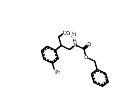 CC(C)c1cccc(C(CNC(=O)OCc2ccccc2)CC(=O)O)c1